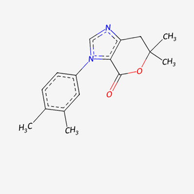 Cc1ccc(-n2cnc3c2C(=O)OC(C)(C)C3)cc1C